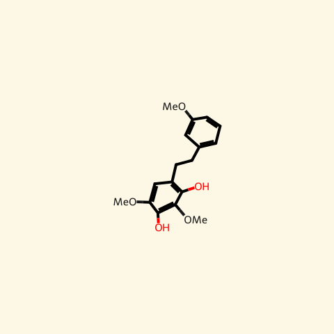 COc1cccc(CCc2cc(OC)c(O)c(OC)c2O)c1